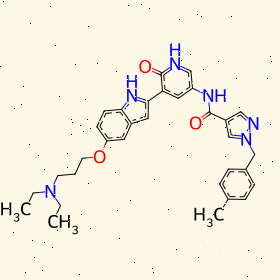 CCN(CC)CCCOc1ccc2[nH]c(-c3cc(NC(=O)c4cnn(Cc5ccc(C)cc5)c4)c[nH]c3=O)cc2c1